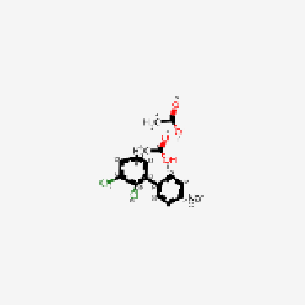 CC(=O)O.CC(=O)[O-].Clc1cccc(-c2ccccc2)c1Cl.[Na+]